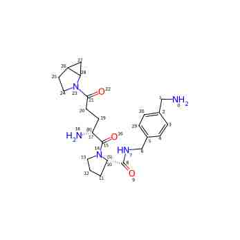 NCc1ccc(CNC(=O)[C@@H]2CCCN2C(=O)[C@H](N)CCC(=O)N2CCC3CC32)cc1